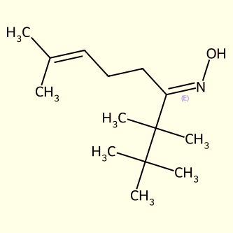 CC(C)=CCC/C(=N\O)C(C)(C)C(C)(C)C